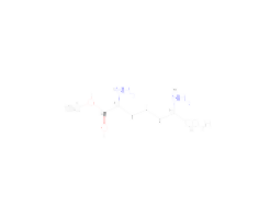 CC(C)(C)OC(=O)C(N)CCCC(N)C(=O)O